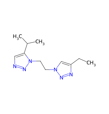 CCc1cn(CCn2nncc2C(C)C)nn1